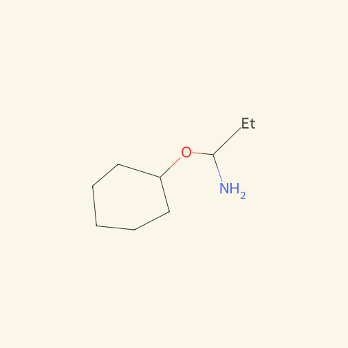 CCC(N)OC1CCCCC1